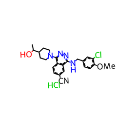 COc1ccc(CNc2nnc(N3CCC(C(C)O)CC3)c3ccc(C#N)cc23)cc1Cl.Cl